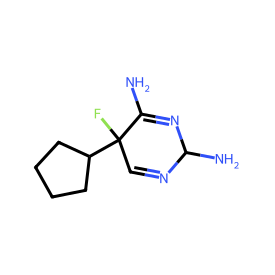 NC1=NC(N)N=CC1(F)C1CCCC1